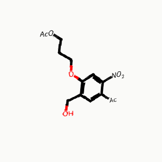 CC(=O)OCCCOc1cc([N+](=O)[O-])c(C(C)=O)cc1CO